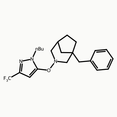 CCCCn1nc(C(F)(F)F)cc1ON1CC2CCC(Cc3ccccc3)(C2)C1